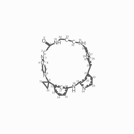 O=C1CN2CCN(CC2)C2(CC2)c2cccc(c2)Nc2cc(ccn2)-c2cnc(nc2)NCCCN1